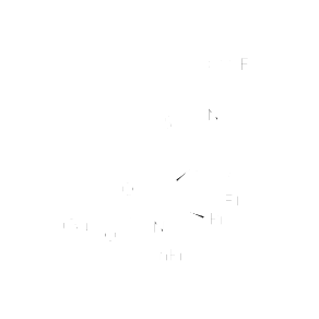 CCCN(C(=O)OC(C)(C)C)[C@@H](C[C@H](OCC)c1nc(C(=O)OCC)cs1)C(C)C